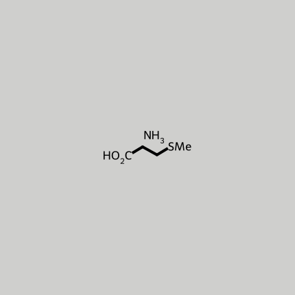 CSCCC(=O)O.N